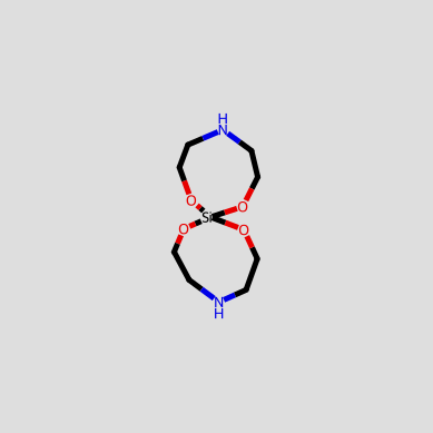 C1CO[Si]2(OCCN1)OCCNCCO2